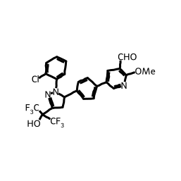 COc1ncc(-c2ccc(C3CC(C(O)(C(F)(F)F)C(F)(F)F)=NN3c3ccccc3Cl)cc2)cc1C=O